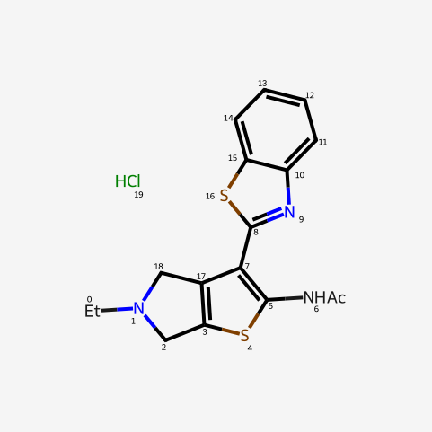 CCN1Cc2sc(NC(C)=O)c(-c3nc4ccccc4s3)c2C1.Cl